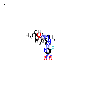 CC(C)(C)OC(=O)NC(C)(C)c1cn(-c2ncc([N+](=O)[O-])cc2F)cn1